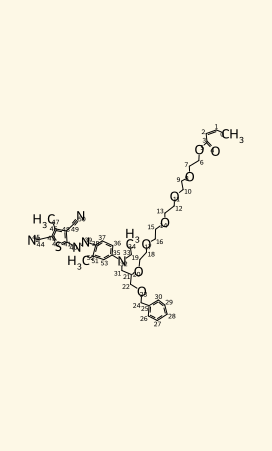 C/C=C\C(=O)OCCOCCOCCOCCOCCOC(COCc1ccccc1)CN(CC)c1ccc(/N=N/c2sc(C#N)c(C)c2C#N)c(C)c1